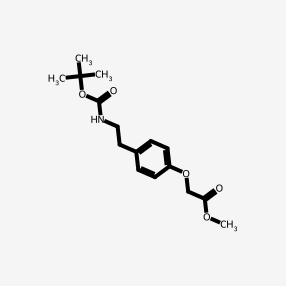 COC(=O)COc1ccc(CCNC(=O)OC(C)(C)C)cc1